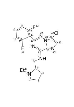 CCN1CCCC1CNc1nc(-c2c(F)cccc2F)nn2c(Cl)cnc12